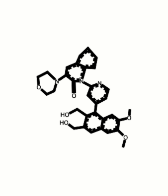 COc1cc2cc(CO)c(CO)c(-c3ccnc(-n4c(=O)c(N5CCOCC5)cc5ccccc54)c3)c2cc1OC